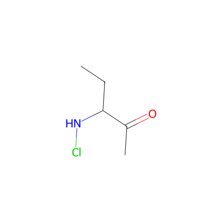 CCC(NCl)C(C)=O